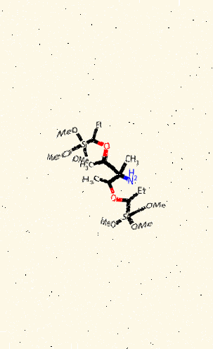 CCC(OC(C)C(C)(N)C(C)OC(CC)[Si](OC)(OC)OC)[Si](OC)(OC)OC